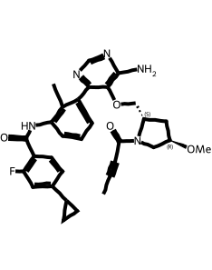 CC#CC(=O)N1C[C@H](OC)C[C@H]1COc1c(N)ncnc1-c1cccc(NC(=O)c2ccc(C3CC3)cc2F)c1C